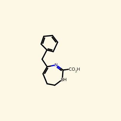 O=C(O)C1=NC(Cc2ccccc2)=CCCB1